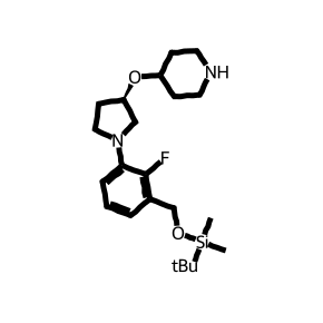 CC(C)(C)[Si](C)(C)OCc1cccc(N2CC[C@@H](OC3CCNCC3)C2)c1F